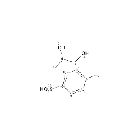 CC(O)CO.Cc1ccc(S(=O)(=O)O)cc1